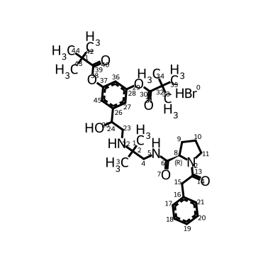 Br.CC(C)(CNC(=O)[C@H]1CCCN1C(=O)Cc1ccccc1)NCC(O)c1cc(OC(=O)C(C)(C)C)cc(OC(=O)C(C)(C)C)c1